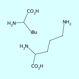 CCC(C)C(N)C(=O)O.NCCCC(N)C(=O)O